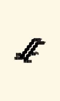 CCCCCCC(O)CCCCCCCCCCC(=O)[O-].CCCCCCC(O)CCCCCCCCCCC(=O)[O-].[Pb+2]